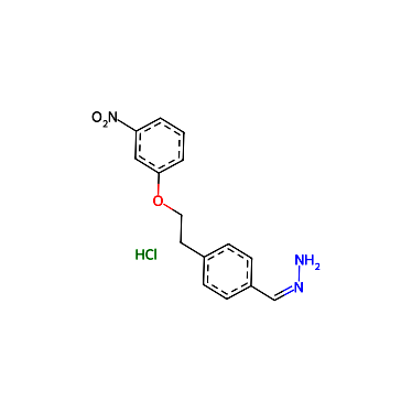 Cl.N/N=C\c1ccc(CCOc2cccc([N+](=O)[O-])c2)cc1